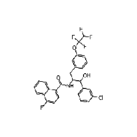 O=C(NC(Cc1cccc(OC(F)(F)C(F)F)c1)C(O)c1cccc(Cl)c1)c1ccc(F)c2ccccc12